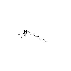 CCCCCCCCCN(C)N